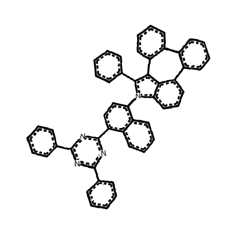 c1ccc(-c2nc(-c3ccccc3)nc(-c3ccc(-n4c(-c5ccccc5)c5c6c(cccc64)-c4ccccc4-c4ccccc4-5)c4ccccc34)n2)cc1